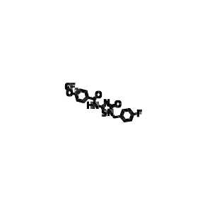 O=C(Nc1nc(=O)n(Cc2ccc(F)cc2)s1)c1ccc(OC(F)(F)F)cc1